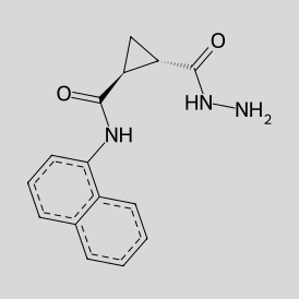 NNC(=O)[C@H]1C[C@@H]1C(=O)Nc1cccc2ccccc12